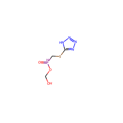 O=[PH](CSc1nnn[nH]1)OCO